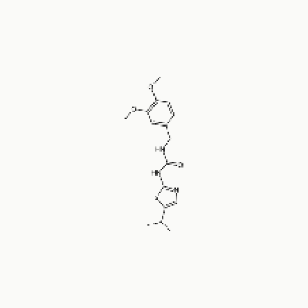 COc1ccc(CNC(=O)Nc2ncc(C(C)C)s2)cc1OC